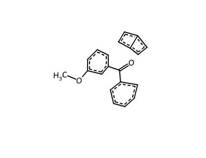 COc1cccc(C(=O)c2ccccc2)c1.c1cc2ccc1-2